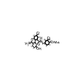 COc1ccc(CNC(=O)c2cc(Cl)ccc2C2CC(O)CCN2C(N)=O)cc1Cl